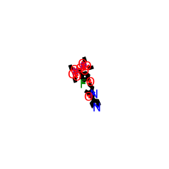 CCOP(=O)(OCC)OC(c1ccc(OCCc2nc(-c3ccncc3)oc2C)c(F)c1)P(=O)(OCC)OCC